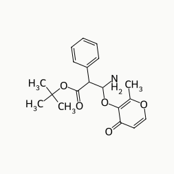 Cc1occc(=O)c1OC(N)C(C(=O)OC(C)(C)C)c1ccccc1